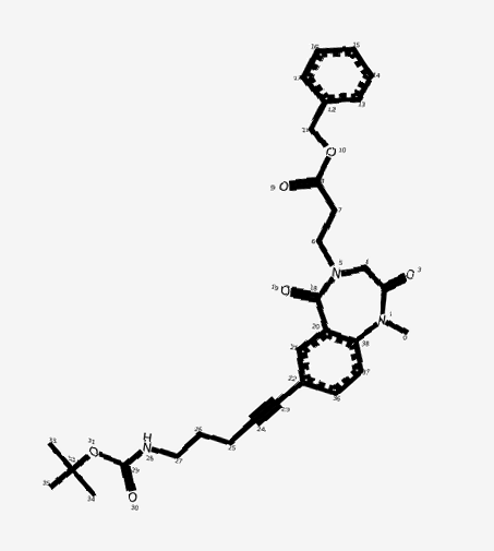 CN1C(=O)CN(CCC(=O)OCc2ccccc2)C(=O)c2cc(C#CCCCNC(=O)OC(C)(C)C)ccc21